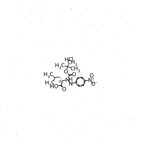 CC(C)C[C@@H](C(=O)O)N(Nc1ccc([N+](=O)[O-])cc1)C(=O)OC(C)(C)C.Cl